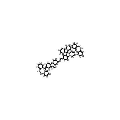 CC1(C)c2cc(/C=C/c3ccc4c(c3)C(c3ccccc3)(c3ccccc3)C3C=C(N5C6=C(C=CCC6)CCc6ccccc65)C=CC43)ccc2-c2ccc(N3c4ccccc4CCc4ccccc43)cc21